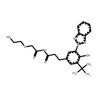 CC(C)(C)c1cc(CCC(=O)NC(=O)COCCO)cc(-n2nc3ccccc3n2)c1O